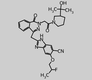 CC(F)COc1cc2nc(Cc3nn(CC(=O)N4CCCC(C(C)(C)O)C4)c(=O)c4ccccc34)[nH]c2cc1C#N